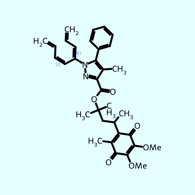 C=C/C=C\C(=C/C=C)n1nc(C(=O)OC(C)(C)CC(C)C2=C(C)C(=O)C(OC)=C(OC)C2=O)c(C)c1-c1ccccc1